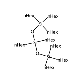 CCCCCC[Si](CCCCCC)(CCCCCC)O[Si](CCCCCC)(CCCCCC)O[Si](CCCCCC)(CCCCCC)CCCCCC